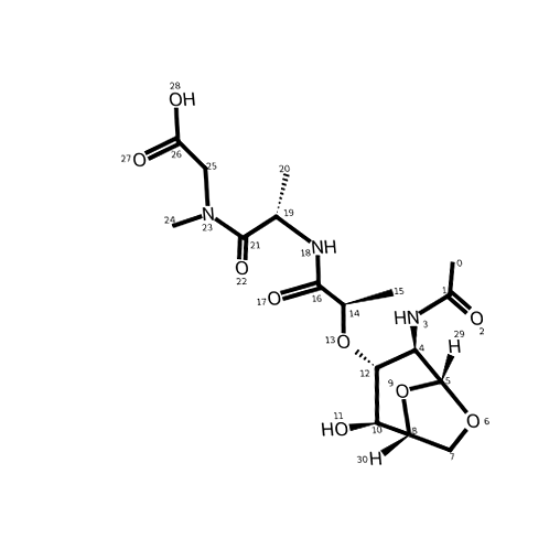 CC(=O)N[C@H]1[C@@H]2OC[C@@H](O2)[C@@H](O)[C@@H]1O[C@H](C)C(=O)N[C@@H](C)C(=O)N(C)CC(=O)O